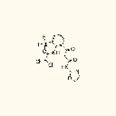 O=C(CC(=O)c1cccc(C(F)(F)F)c1NC(=O)C(Cl)Cl)Nc1ncco1